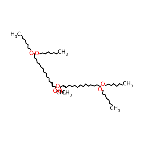 CCCCCCCCOC(CCCCCCCCCCCC=CC(OC)OC(C=CCCCCCCCCCCCC(OCCCCCCCC)OCCCCCCCC)OC)OCCCCCCCC